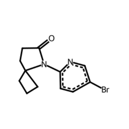 O=C1CCC2(CCC2)N1c1ccc(Br)cn1